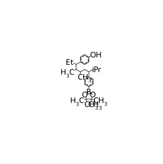 CCC(c1ccc(O)cc1)C(C)C(C)CC(c1ccc(B2OC(C)(C)C(C)(C)O2)cc1)C(C)C